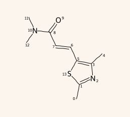 Cc1nc(C)c(C=CC(=O)N(C)C)s1